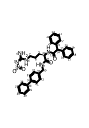 N/C(=N/[N+](=O)[O-])NCCC[C@@H](NC(=O)C(c1ccccc1)c1ccccc1)C(=O)NCc1ccc(-c2ccccc2)cc1